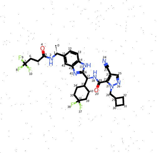 C[C@@H](NC(=O)CCC(F)(F)F)c1ccc2[nH]c([C@@H](NC(=O)c3c(C#N)cnn3CC3CCC3)C3CCC(F)(F)CC3)nc2c1